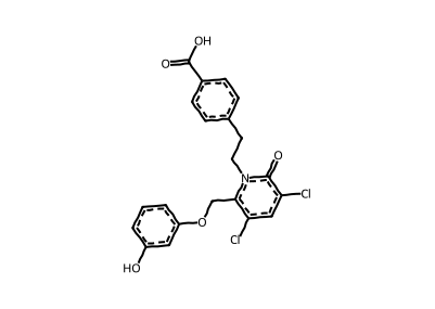 O=C(O)c1ccc(CCn2c(COc3cccc(O)c3)c(Cl)cc(Cl)c2=O)cc1